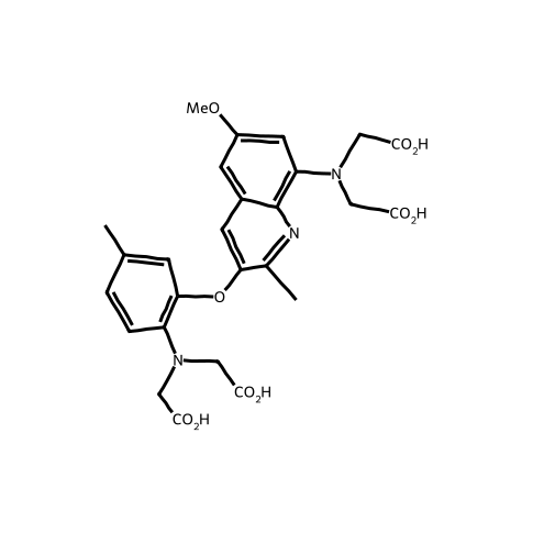 COc1cc(N(CC(=O)O)CC(=O)O)c2nc(C)c(Oc3cc(C)ccc3N(CC(=O)O)CC(=O)O)cc2c1